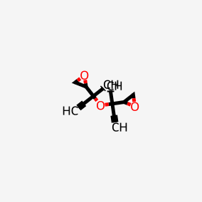 C#CC(C#C)(OC(C#C)(C#C)C1CO1)C1CO1